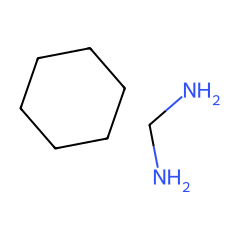 C1CCCCC1.NCN